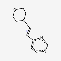 C(=C\N1CCOCC1)/c1ccncn1